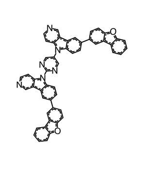 c1ccc2c(c1)oc1ccc(-c3ccc4c(c3)c3cnccc3n4-c3cnc(-n4c5ccncc5c5cc(-c6ccc7oc8ccccc8c7c6)ccc54)nc3)cc12